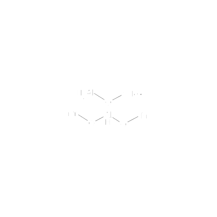 CC(C)[O][AlH][O]C(C)C.CCCCCC[O][AlH2]